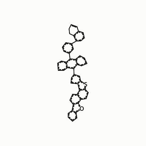 C1=Cc2cccc(-c3cccc(-c4c5ccccc5c(-c5ccc6c(c5)sc5ccc7c(ccc8c9ccccc9oc87)c56)c5ccccc45)c3)c2CC1